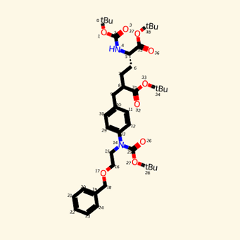 CC(C)(C)OC(=O)N[C@@H](CCC(Cc1ccc(N(CCOCc2ccccc2)C(=O)OC(C)(C)C)cc1)C(=O)OC(C)(C)C)C(=O)OC(C)(C)C